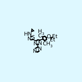 CCC(CC)Oc1cc(C)c(-c2cc(-c3cnc(NC4CC4)s3)nc(-c3cnccn3)n2)c(C)c1